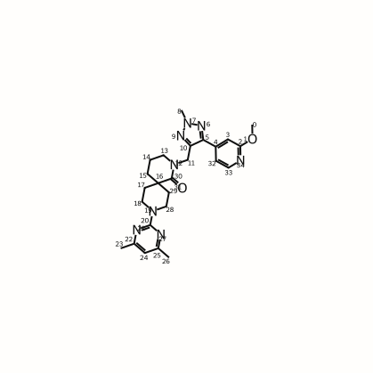 COc1cc(-c2nn(C)nc2CN2CCCC3(CCN(c4nc(C)cc(C)n4)CC3)C2=O)ccn1